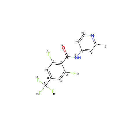 Cc1cc(NC(=O)c2c(F)cc(C(F)(F)F)cc2F)ccn1